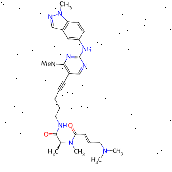 CNc1nc(Nc2ccc3c(cnn3C)c2)ncc1C#CCCCNC(=O)[C@H](C)N(C)C(=O)/C=C/CN(C)C